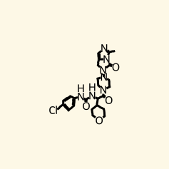 Cc1ncc2n1C(=O)N(N1CCN(C(=O)C(NC(=O)Nc3ccc(Cl)cc3)C3CCOCC3)CC1)C2